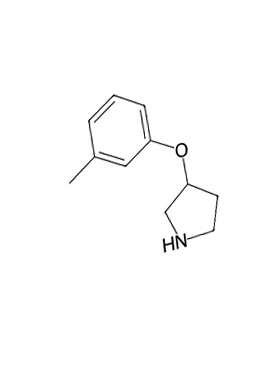 Cc1cccc(OC2CCNC2)c1